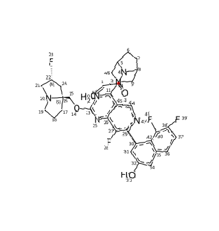 C=CC(=O)N1C2CCC1CN(c1nc(OC[C@@]34CCCN3C[C@H](F)C4)nc3c(F)c(-c4cc(O)cc5ccc(F)c(F)c45)ncc13)C2